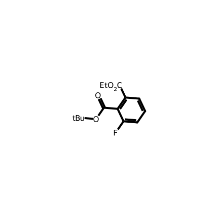 CCOC(=O)c1cccc(F)c1C(=O)OC(C)(C)C